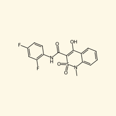 CN1c2ccccc2C(O)=C(C(=O)Nc2ccc(F)cc2F)S1(=O)=O